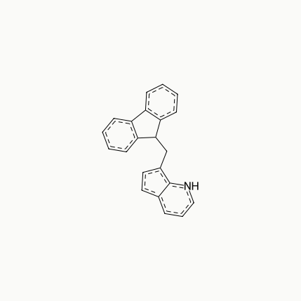 c1c[nH]c2c(CC3c4ccccc4-c4ccccc43)ccc-2c1